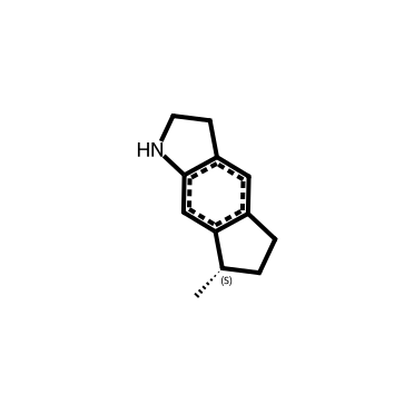 C[C@H]1CCc2cc3c(cc21)NCC3